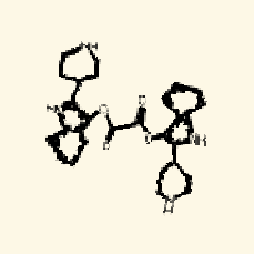 O=C(Oc1c(C2CCNCC2)[nH]c2ccccc12)C(=O)Oc1c(C2CCNCC2)[nH]c2ccccc12